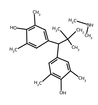 CNC.Cc1cc(C(c2cc(C)c(O)c(C)c2)C(C)(C)C)cc(C)c1O